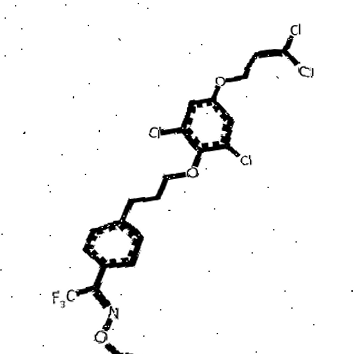 CC(C)ON=C(c1ccc(CCCOc2c(Cl)cc(OCC=C(Cl)Cl)cc2Cl)cc1)C(F)(F)F